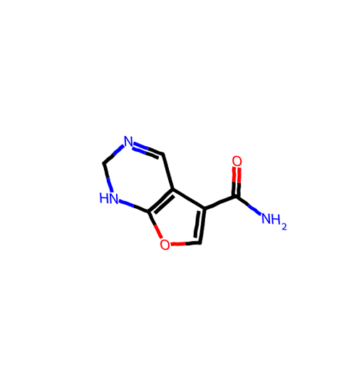 NC(=O)c1coc2c1C=NCN2